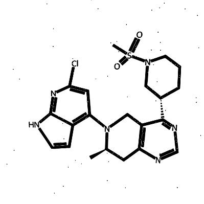 C[C@@H]1Cc2ncnc([C@H]3CCCN(S(C)(=O)=O)C3)c2CN1c1cc(Cl)nc2[nH]ccc12